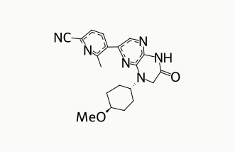 CO[C@H]1CC[C@H](N2CC(=O)Nc3ncc(-c4ccc(C#N)nc4C)nc32)CC1